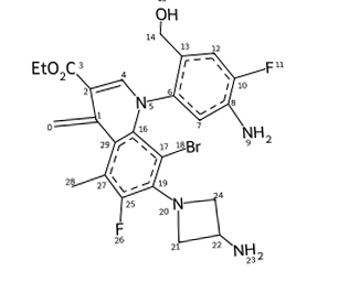 C=C1C(C(=O)OCC)=CN(c2cc(N)c(F)cc2CO)c2c(Br)c(N3CC(N)C3)c(F)c(C)c21